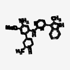 COc1cc(C2=CCNC(C)C2)c(Nc2nccc(-c3c(C)[nH]c4ccccc34)n2)cc1N